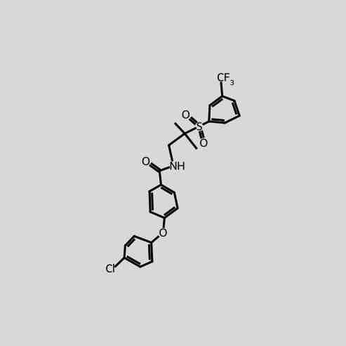 CC(C)(CNC(=O)c1ccc(Oc2ccc(Cl)cc2)cc1)S(=O)(=O)c1cccc(C(F)(F)F)c1